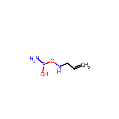 C=CCNOP(N)O